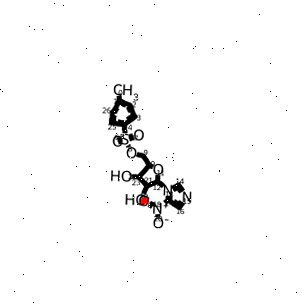 Cc1ccc(S(=O)(=O)OCC2OC(n3cncc3[N+](=O)[O-])C(O)C2O)cc1